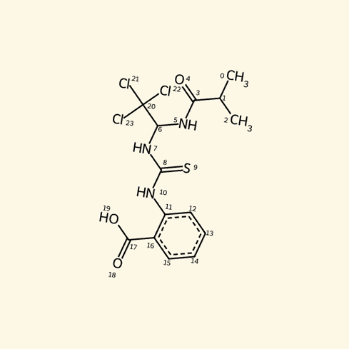 CC(C)C(=O)NC(NC(=S)Nc1ccccc1C(=O)O)C(Cl)(Cl)Cl